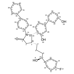 O=C1C[C@@H](CCC[C@H](O)c2ccc(F)cc2)[C@@H](c2ccc(-c3cccc(O)c3)cc2O)N1c1ccc(-c2ccccc2)cc1